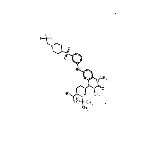 C[C@@H]1C(=O)N(C)c2ccc(Nc3cccc(S(=O)(=O)N4CCN(CC(F)(F)F)CC4)c3)nc2N1C1CCN(C(=O)O)C(C(C)(C)C)C1